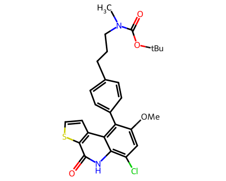 COc1cc(Cl)c2[nH]c(=O)c3sccc3c2c1-c1ccc(CCCN(C)C(=O)OC(C)(C)C)cc1